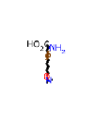 CN(C)OCCCCCSSCC(N)C(=O)O